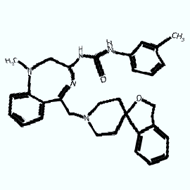 Cc1cccc(NC(=O)NC2CN(C)c3ccccc3C(CN3CCC4(CC3)OCc3ccccc34)=N2)c1